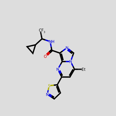 CCc1cc(-c2ccns2)nc2c(C(=O)NC(C3CC3)C(F)(F)F)ncn12